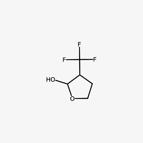 OC1OCCC1C(F)(F)F